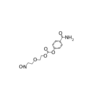 NC(=O)c1ccc(OC(=O)OCCOCCN=O)cc1